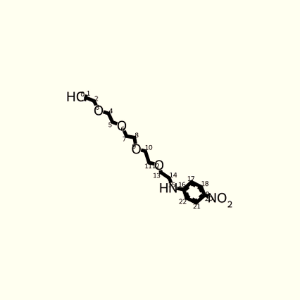 C#CCOCCOCCOCCOCCNc1ccc([N+](=O)[O-])cc1